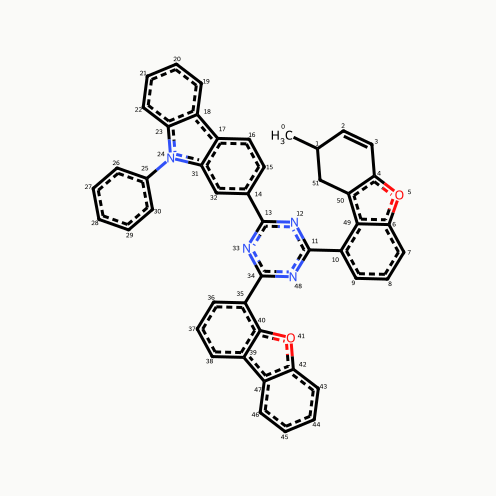 CC1C=Cc2oc3cccc(-c4nc(-c5ccc6c7ccccc7n(-c7ccccc7)c6c5)nc(-c5cccc6c5oc5ccccc56)n4)c3c2C1